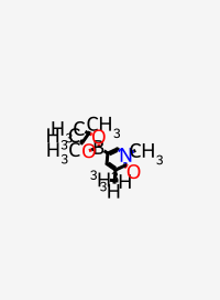 [3H]C([3H])([3H])c1cc(B2OC(C)(C)C(C)(C)O2)cn(C)c1=O